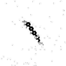 C/C=C/C1COC(c2ccc(-c3ccc(-c4ccc(CCCC)c(F)c4F)cc3)c(F)c2)OC1